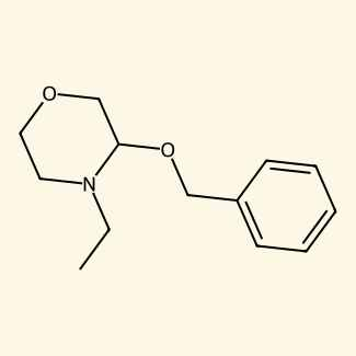 CCN1CCOCC1OCc1ccccc1